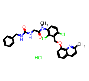 Cc1ccc2cccc(OCc3c(Cl)ccc(N(C)C(=O)CNC(=O)NCc4ccccc4)c3Cl)c2n1.Cl